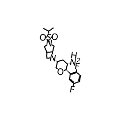 CC(C)S(=O)(=O)N1CC2CN([C@H]3CO[C@H](c4cc(F)ccc4F)[C@@H](N)C3)C2C1